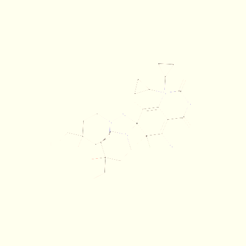 CC1=C2C(=C(N)C(F)(F)C1(NN1CCC(O)(CO)CC1)N1CCC(O)(CO)CC1)C(=O)NC(=O)[N+]2(C1CC1)C1CC1